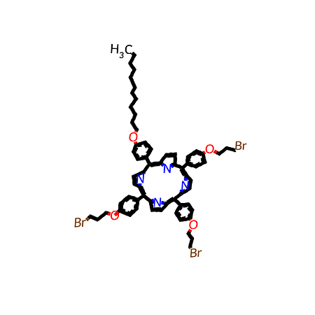 CCCCCCCCCCCCOc1ccc(C2=C3C=CC(=N3)C(c3ccc(OCCCBr)cc3)=C3C=CC(=N3)C(c3ccc(OCCCBr)cc3)=C3C=CC(=N3)C(c3ccc(OCCCBr)cc3)=C3C=CC2=N3)cc1